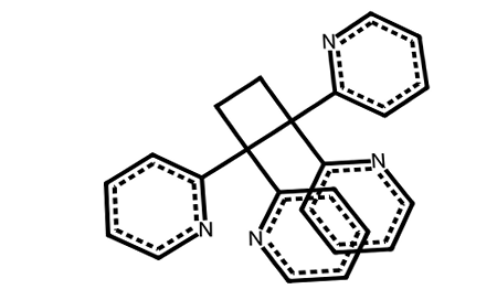 c1ccc(C2(c3ccccn3)CCC2(c2ccccn2)c2ccccn2)nc1